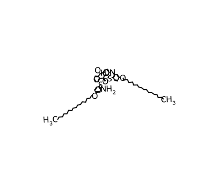 CCCCCCCCCCCCCCCCCOc1ccc(Sc2cccc3c2C(=O)c2c(Sc4ccc(OCCCCCCCCCCCCCCCCC)cc4N)cccc2C3=O)c(N)c1